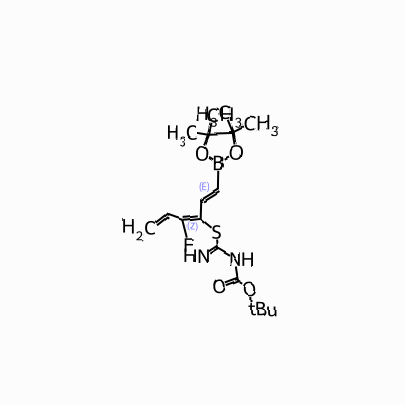 C=C/C(F)=C(\C=C\B1OC(C)(C)C(C)(C)O1)SC(=N)NC(=O)OC(C)(C)C